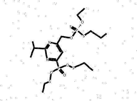 CCCS[P@@](=S)(OCC)OCc1cc(P(=O)(OSCC)OSCC)nc(C(C)C)n1